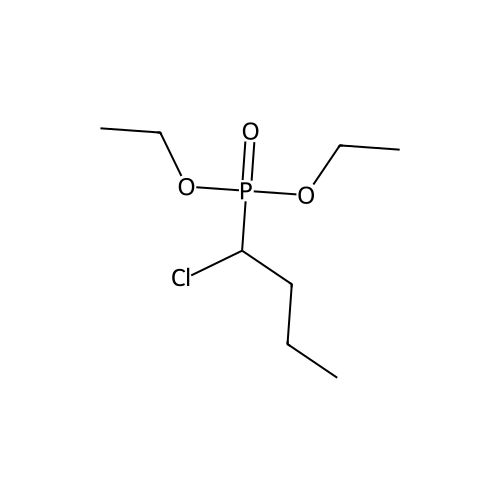 CCCC(Cl)P(=O)(OCC)OCC